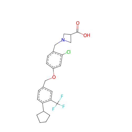 O=C(O)C1CN(Cc2ccc(OCc3ccc(C4CCCC4)c(C(F)(F)F)c3)cc2Cl)C1